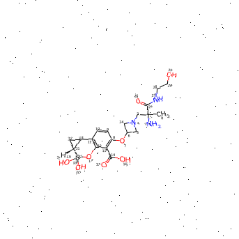 CC(N)(CN1CC(Oc2ccc3c(c2C(=O)O)O[B-](O)(O)[C@@H]2CC32)C1)C(=O)NCCO